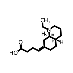 CCN1CCC[C@@H]2CCC(=CCCC(=O)O)C[C@H]21